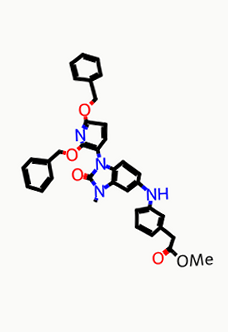 COC(=O)Cc1cccc(Nc2ccc3c(c2)n(C)c(=O)n3-c2ccc(OCc3ccccc3)nc2OCc2ccccc2)c1